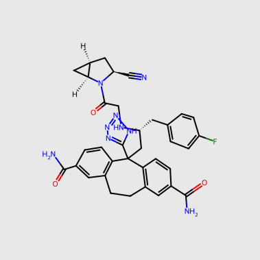 N#C[C@@H]1C[C@@H]2C[C@@H]2N1C(=O)CN[C@H](Cc1ccc(F)cc1)CC1(c2nnn[nH]2)c2ccc(C(N)=O)cc2CCc2cc(C(N)=O)ccc21